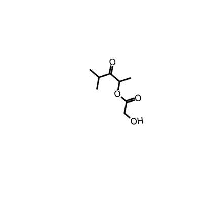 CC(C)C(=O)C(C)OC(=O)CO